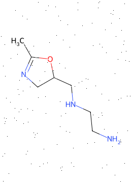 CC1=NCC(CNCCN)O1